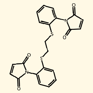 O=C1C=CC(=O)N1c1ccccc1SCCSc1ccccc1N1C(=O)C=CC1=O